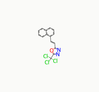 ClC(Cl)(Cl)c1nnc(C=Cc2cccc3ccccc23)o1